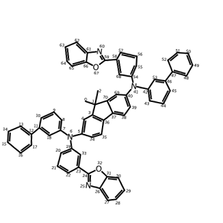 CC1(C)c2cc(N(c3cccc(-c4ccccc4)c3)c3cccc(-c4nc5ccccc5o4)c3)ccc2-c2ccc(N(c3cccc(-c4ccccc4)c3)c3cccc(-c4nc5ccccc5o4)c3)cc21